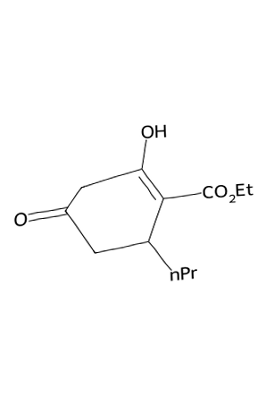 CCCC1CC(=O)CC(O)=C1C(=O)OCC